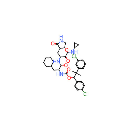 CC(C)(c1cccc(Cl)c1)C(OC(=O)NC(CC1CCCCC1)C(=O)NC(C[C@@H]1CCNC1=O)C(=O)C(=O)NC1CC1)c1ccc(Cl)cc1